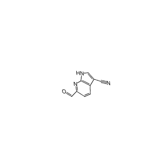 N#Cc1c[nH]c2nc(C=O)ccc12